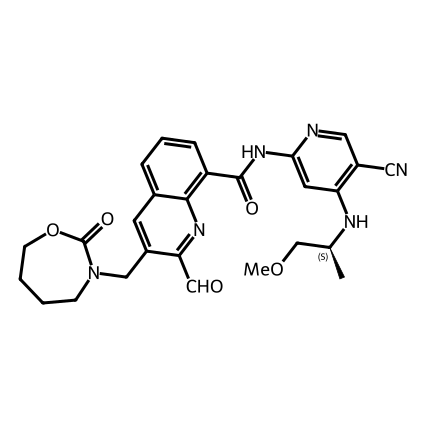 COC[C@H](C)Nc1cc(NC(=O)c2cccc3cc(CN4CCCCOC4=O)c(C=O)nc23)ncc1C#N